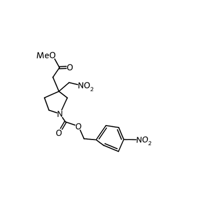 COC(=O)CC1(C[N+](=O)[O-])CCN(C(=O)OCc2ccc([N+](=O)[O-])cc2)C1